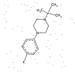 CC(C)(C)N1CCN(c2ccc(F)cc2)CC1